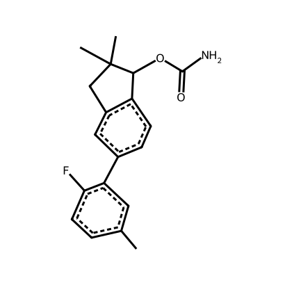 Cc1ccc(F)c(-c2ccc3c(c2)CC(C)(C)C3OC(N)=O)c1